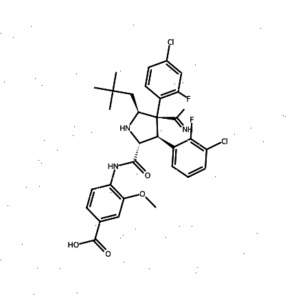 COc1cc(C(=O)O)ccc1NC(=O)[C@@H]1N[C@@H](CC(C)(C)C)[C@](C(C)=N)(c2ccc(Cl)cc2F)[C@H]1c1cccc(Cl)c1F